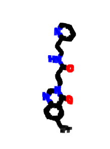 CC(C)c1ccc2ncn(C=CC(=O)NCCc3ccccn3)c(=O)c2c1